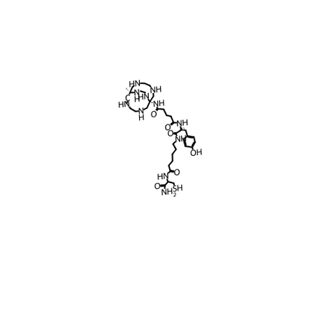 C[C@]12CNCCNC[C@](NC(=O)CCCC(=O)N[C@@H](Cc3ccc(O)cc3)C(=O)NCCCCCC(=O)NC(CS)C(N)=O)(CNCCNC1)NCCN2